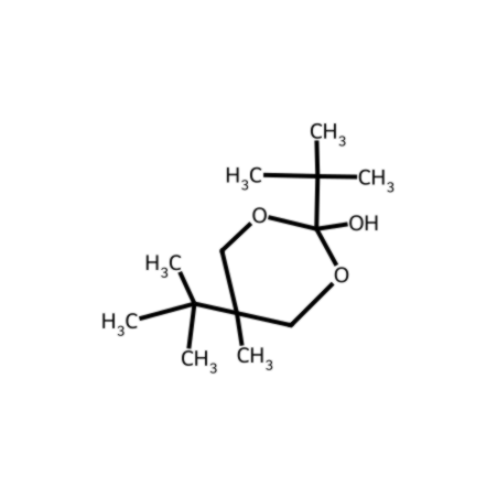 CC(C)(C)C1(C)COC(O)(C(C)(C)C)OC1